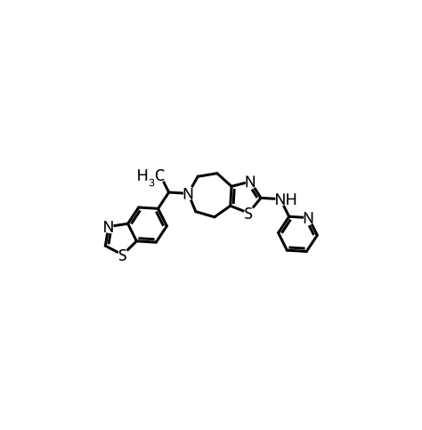 CC(c1ccc2scnc2c1)N1CCc2nc(Nc3ccccn3)sc2CC1